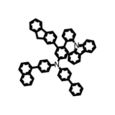 c1ccc(-c2ccc(N(c3ccc(-c4cccc5ccccc45)cc3)c3ccc(-c4ccccc4-n4c5ccccc5c5ccccc54)c(-c4ccc5c(c4)Cc4ccccc4-5)c3)cc2)cc1